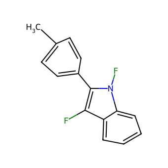 Cc1ccc(-c2c(F)c3ccccc3n2F)cc1